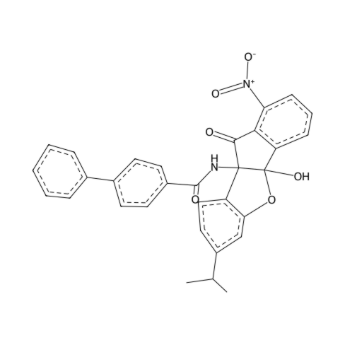 CC(C)c1ccc2c(c1)OC1(O)c3cccc([N+](=O)[O-])c3C(=O)C21NC(=O)c1ccc(-c2ccccc2)cc1